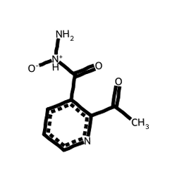 CC(=O)c1ncccc1C(=O)[NH+](N)[O-]